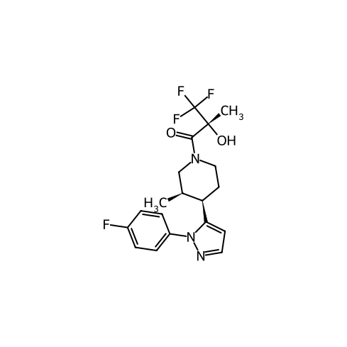 C[C@H]1CN(C(=O)[C@@](C)(O)C(F)(F)F)CC[C@H]1c1ccnn1-c1ccc(F)cc1